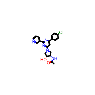 CC(=O)N[C@@H]1CN(c2cc(-c3ccc(Cl)cc3)nc(-c3cccnc3)n2)C[C@H]1O